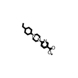 CCC1CCC(N2CCN(c3ccc(C(=O)OC)cn3)CC2)CC1